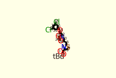 CC(C)(C)OC(=O)c1csc(CCCN(CCOc2cc(Cl)cc(Cl)c2)S(C)(=O)=O)n1